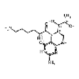 C[C@H](O)[C@H](O)[C@H]1CNc2nc(N)[nH]c(=O)c2N1C(=O)[C@@H](N)CCCCN